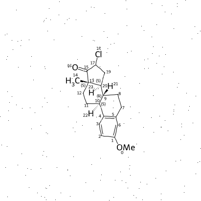 COc1ccc2c(c1)CC[C@@H]1[C@@H]2CC[C@]2(C)C(=O)C(Cl)C[C@@H]12